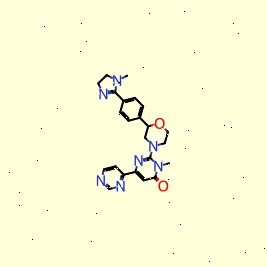 CN1CCN=C1c1ccc(C2CN(c3nc(-c4ccncn4)cc(=O)n3C)CCO2)cc1